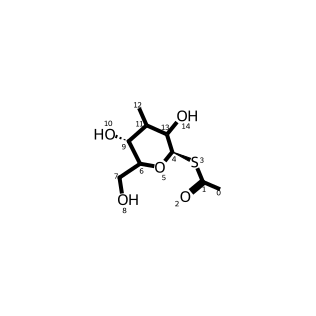 CC(=O)S[C@H]1OC(CO)[C@H](O)C(C)C1O